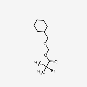 CCC(C)(C)C(=O)OCOCC1CCCCC1